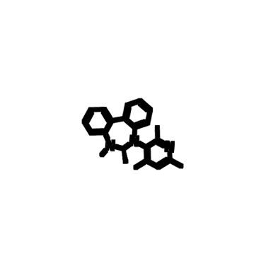 Cc1cc(C)c(N2c3ccccc3-c3ccccc3N(C)[C@@H]2C)c(C)n1